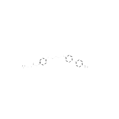 COC(Cc1ccc(OCCCOc2ccc(-c3ccc(Br)cc3)cc2)cc1)C(=O)O